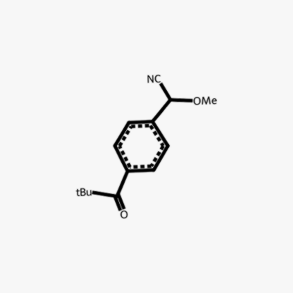 COC(C#N)c1ccc(C(=O)C(C)(C)C)cc1